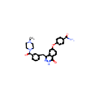 CN1CCN(C(=O)c2cccc(Cc3n[nH]c(=O)c4ccc(Oc5ccc(C(N)=O)cc5)cc34)c2)CC1